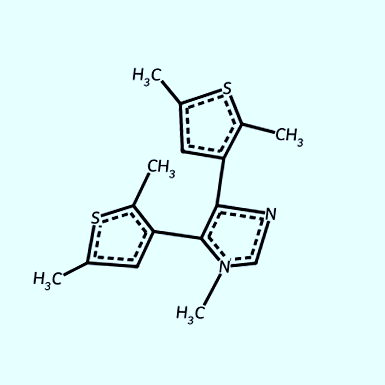 Cc1cc(-c2ncn(C)c2-c2cc(C)sc2C)c(C)s1